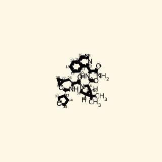 CC1(C)[C@@H]2[C@@H](C(=O)NC(C(N)=O)c3nncc4ccccc34)N(C(=O)[C@H](CC3CC3)NC(=O)[C@@H]3CCOC3)C[C@@H]21